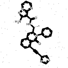 C[C@@H](NC(=O)c1c(N)nn2cccnc12)c1cc2cccc(C#Cc3cscn3)c2c(=O)n1-c1ccccc1